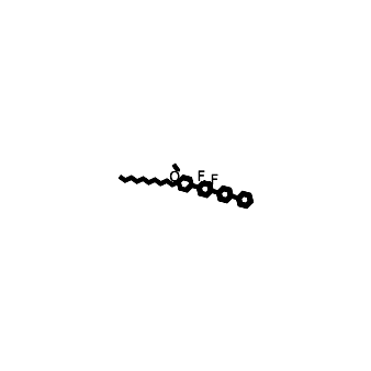 CCCCCCCCCCC1(OCC)C=CC(c2ccc(-c3ccc(-c4ccccc4)cc3)c(F)c2F)=CC1